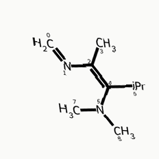 C=N/C(C)=C(/C(C)C)N(C)C